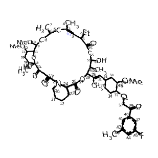 CCC1/C=C(\C)CC(C)CC(OC)C2OC(O)(C(=O)C(=O)N3CCCCC3C(=O)OC(C(C)=CC3CCC(OCC(=O)c4cc(C)cc(F)c4)C(OC)C3)C(C)C(O)CC1=O)C(C)CC2OC